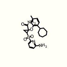 Cc1ccc(C2CCCCCC2)c(OC2(C(N)=O)CC2S(=O)(=O)c2cccc(N)n2)c1